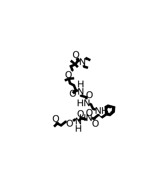 CCN(CC)C(=O)C(C)(C)CCOC(C)(C)CCC(=O)NCC(=O)NCC(=O)N[C@@H](Cc1ccccc1)C(=O)NCC(=O)NCOCCC(C)=O